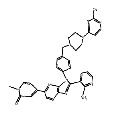 Cn1ccc(-c2ccc3nc(-c4cccnc4N)n(-c4ccc(CN5CCN(c6ccnc(C#N)n6)CC5)cc4)c3n2)cc1=O